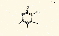 Cc1nc(=O)n(C(C)(C)C)c(C)c1C